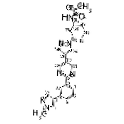 Cn1cc(-c2cccc(-c3ncc(-c4cnn([C@H]5CCC[C@H](NS(C)(=O)=O)C5)c4)cn3)c2)cn1